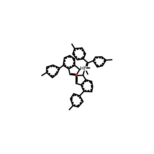 Cc1ccc([C](c2ccc(C)cc2)=[Hf]([CH3])([CH3])([CH]2C=Cc3c(-c4ccc(C)cc4)cccc32)[CH]2C=Cc3c(-c4ccc(C)cc4)cccc32)cc1